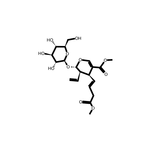 C=C[C@H]1[C@H](O[C@@H]2O[C@H](CO)[C@@H](O)[C@H](O)[C@H]2O)OC=C(C(=O)OC)[C@H]1/C=C/CC(=O)OC